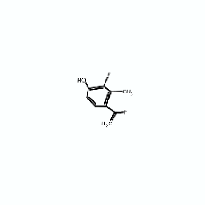 C=C(F)c1ccc(O)c(F)c1C